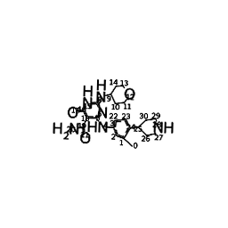 Cc1cc(Nc2nc(NC3CCOCC3)[nH]c(=O)c2C(N)=O)ccc1C1CCNCC1